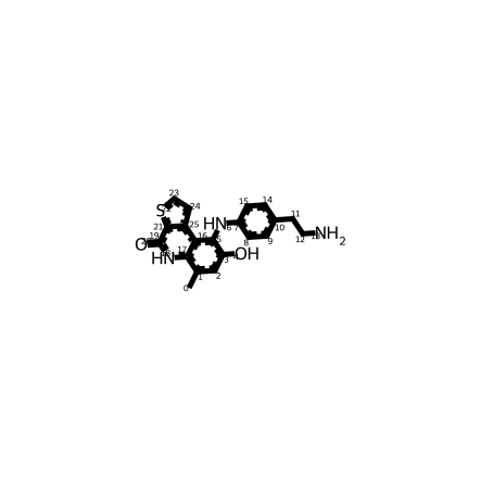 Cc1cc(O)c(Nc2ccc(CCN)cc2)c2c1[nH]c(=O)c1sccc12